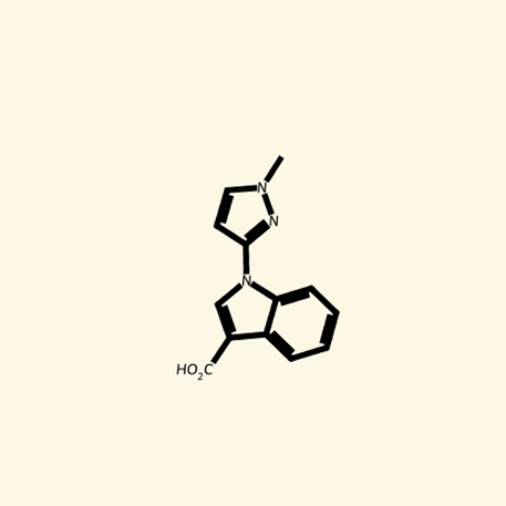 Cn1ccc(-n2cc(C(=O)O)c3ccccc32)n1